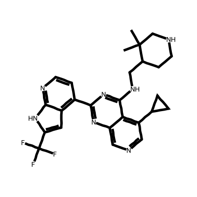 CC1(C)CNCCC1CNc1nc(-c2ccnc3[nH]c(C(F)(F)F)cc23)nc2cncc(C3CC3)c12